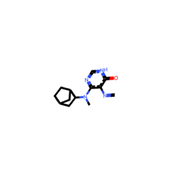 C=Nc1c(N(C)C2CC3CCC2C3)nc[nH]c1=O